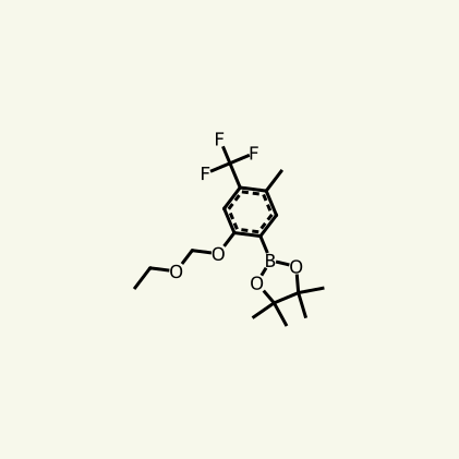 CCOCOc1cc(C(F)(F)F)c(C)cc1B1OC(C)(C)C(C)(C)O1